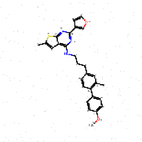 Cc1cc2c(NCCCc3ccc(-c4ccc(OC(F)(F)F)cc4)c(C)c3)nc(-c3ccoc3)nc2s1